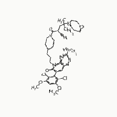 CNc1ncc2cc(-c3c(Cl)c(OC)cc(OC)c3Cl)c(=O)n(CCCC3CCN(C(=O)C(C#N)=CC(C)(C)N4CCOCC4)CC3)c2n1